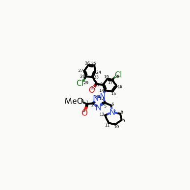 COC(=O)c1nc(CN2CCCCC2)n(-c2ccc(Cl)cc2C(=O)c2ccccc2Cl)n1